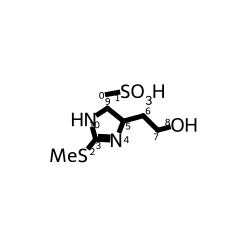 CS(=O)(=O)O.CSC1=NC(CCO)CN1